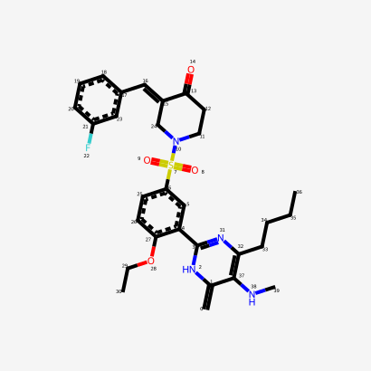 C=C1NC(c2cc(S(=O)(=O)N3CCC(=O)/C(=C/c4cccc(F)c4)C3)ccc2OCC)=NC(CCCC)=C1NC